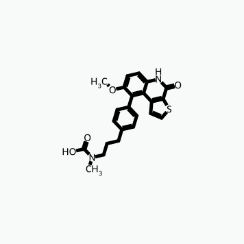 COc1ccc2[nH]c(=O)c3sccc3c2c1-c1ccc(CCCN(C)C(=O)O)cc1